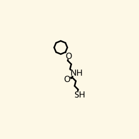 O=C(CCCS)NCCCOC1CCCCCCC1